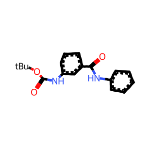 CC(C)(C)OC(=O)Nc1cccc(C(=O)Nc2ccccc2)c1